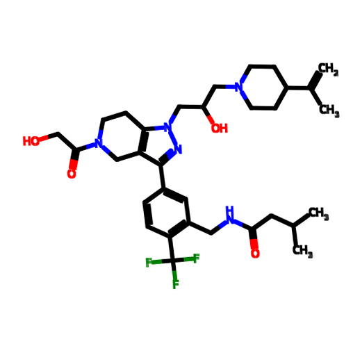 C=C(C)C1CCN(CC(O)Cn2nc(-c3ccc(C(F)(F)F)c(CNC(=O)CC(C)C)c3)c3c2CCN(C(=O)CO)C3)CC1